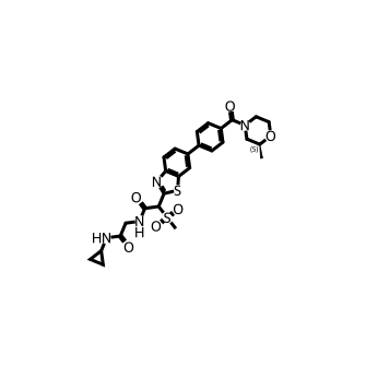 C[C@H]1CN(C(=O)c2ccc(-c3ccc4nc(C(C(=O)NCC(=O)NC5CC5)S(C)(=O)=O)sc4c3)cc2)CCO1